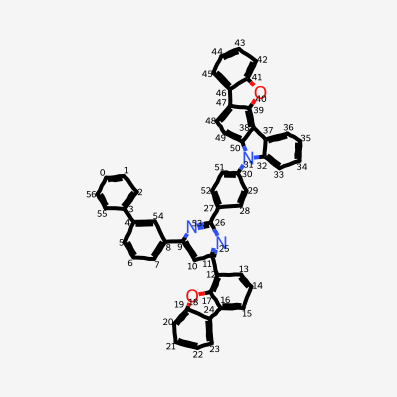 c1ccc(-c2cccc(-c3cc(-c4cccc5c4oc4ccccc45)nc(-c4ccc(-n5c6ccccc6c6c7oc8ccccc8c7ccc65)cc4)n3)c2)cc1